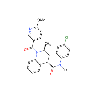 CCN(C(=O)[C@@H]1C[C@H](C)N(C(=O)c2ccc(OC)nc2)c2ccccc21)c1ccc(Cl)cc1